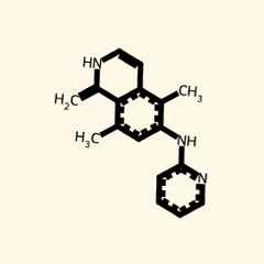 C=C1NC=Cc2c(C)c(Nc3ccccn3)cc(C)c21